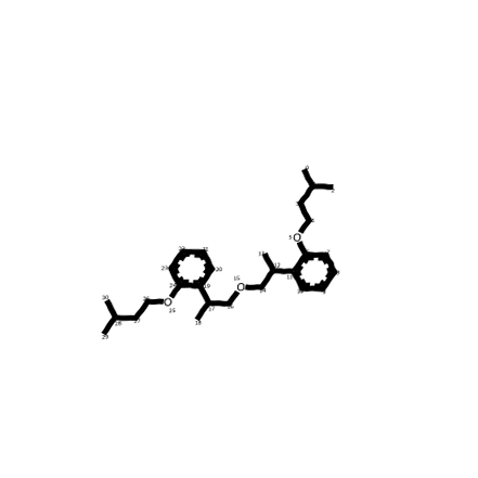 CC(C)CCOc1ccccc1C(C)COCC(C)c1ccccc1OCCC(C)C